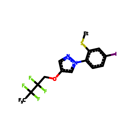 CCSc1cc(I)ccc1-n1cc(OCC(F)(F)C(F)(F)C(F)(F)F)cn1